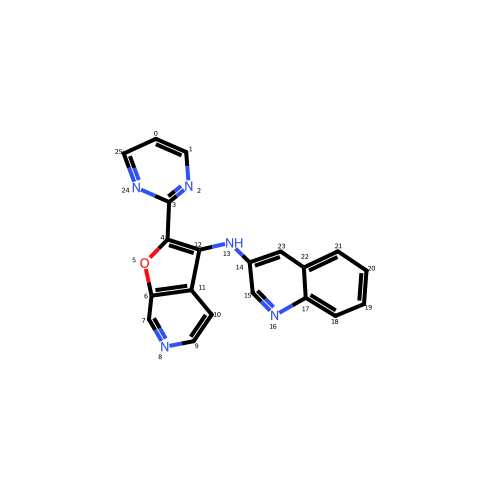 c1cnc(-c2oc3cnccc3c2Nc2cnc3ccccc3c2)nc1